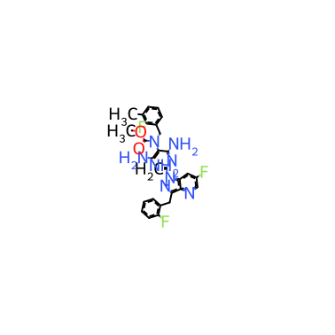 C=C(/N=C(/N)C(=C(N)N)N(Cc1cccc(C)c1F)C(=O)OC)n1nc(Cc2ccccc2F)c2ncc(F)cc21